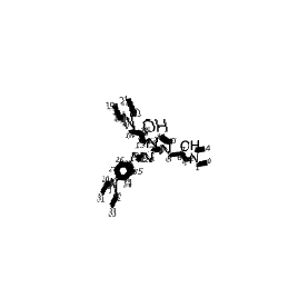 CCN(CC)CC(O)Cn1cc[n+](CC(O)CN(CC)CC)c1N=Nc1ccc(N(CC)CC)cc1